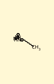 CCCCCCCCCCc1ccc(Nc2nc3ccccc3n3cncc23)cc1